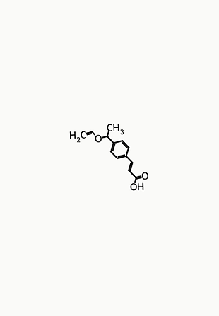 C=COC(C)c1ccc(C=CC(=O)O)cc1